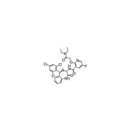 CCN(CC)C(=O)COc1ncc(F)cc1C(=O)NC1N=C(c2c(Cl)cc(Cl)cc2Cl)c2ccccc2NC1=O